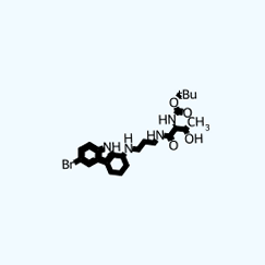 CC(O)[C@H](NC(=O)OC(C)(C)C)C(=O)NCCCNC1CCCc2c1[nH]c1ccc(Br)cc21